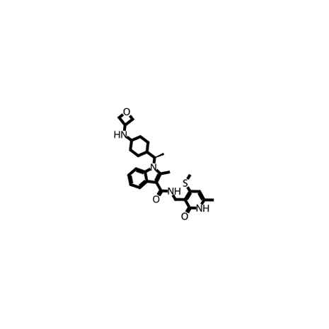 CSc1cc(C)[nH]c(=O)c1CNC(=O)c1c(C)n([C@H](C)C2CCC(NC3COC3)CC2)c2ccccc12